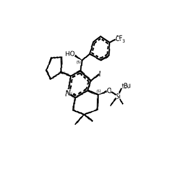 CC1(C)Cc2nc(C3CCCC3)c([C@@H](O)c3ccc(C(F)(F)F)cc3)c(I)c2[C@@H](O[Si](C)(C)C(C)(C)C)C1